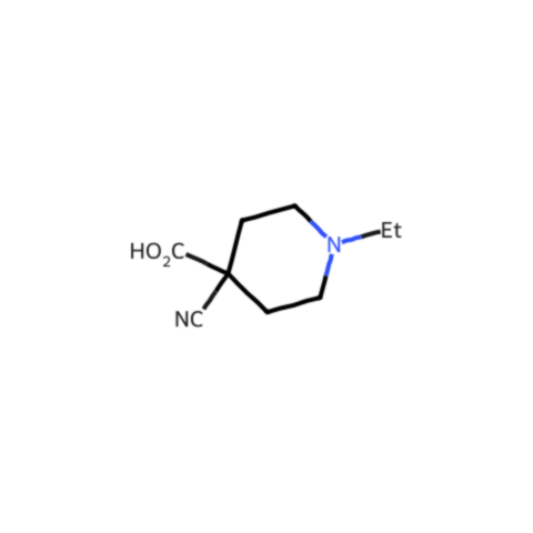 CCN1CCC(C#N)(C(=O)O)CC1